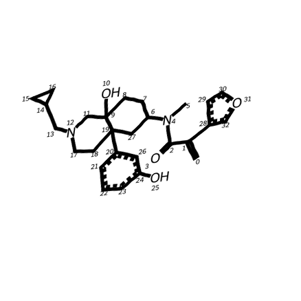 C=C(C(=O)N(C)C1CCC2(O)CN(CC3CC3)CCC2(c2cccc(O)c2)C1)c1ccoc1